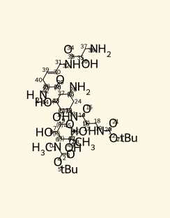 CN(C(=O)OC(C)(C)C)[C@@H]1[C@@H](O)[C@@H](O[C@H]2[C@H](NC(=O)[C@@H](O)CNC(=O)OC(C)(C)C)C[C@H](N)C([C@H]3OC(CNC(=O)C(O)CN)=CC[C@H]3N)[C@@H]2O)OC[C@]1(C)O